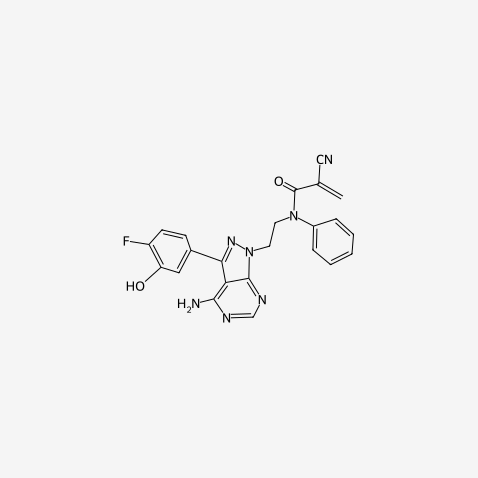 C=C(C#N)C(=O)N(CCn1nc(-c2ccc(F)c(O)c2)c2c(N)ncnc21)c1ccccc1